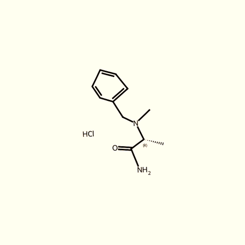 C[C@H](C(N)=O)N(C)Cc1ccccc1.Cl